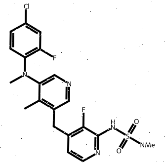 CNS(=O)(=O)Nc1nccc(Cc2cncc(N(C)c3ccc(Cl)cc3F)c2C)c1F